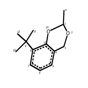 CC1OCc2cccc(C(C)(C)C)c2O1